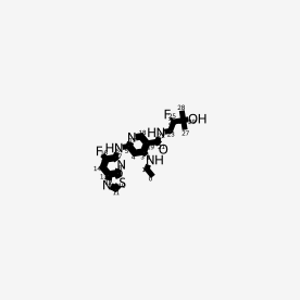 CCNc1cc(Nc2nc3scnc3cc2F)ncc1C(=O)NC[C@@H](F)C(C)(C)O